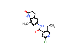 CCc1cnc(Cl)cc1C(=O)Nc1cc(C)c2c(c1)CCC(=O)N2